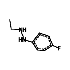 CCNNc1ccc(F)cc1